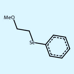 COCC[Se]c1ccccc1